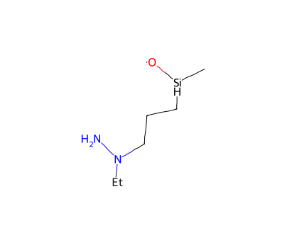 CCN(N)CCC[SiH](C)[O]